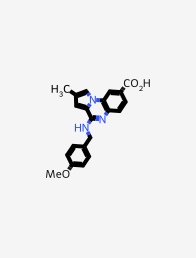 COc1ccc(CNc2nc3ccc(C(=O)O)cc3n3cc(C)cc23)cc1